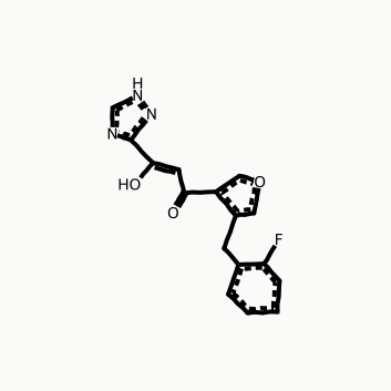 O=C(C=C(O)c1nc[nH]n1)c1cocc1Cc1ccccc1F